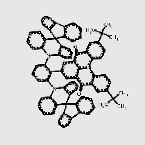 CC(C)(C)c1ccc2c(c1)c(=O)c1cc(-c3c(N4c5ccccc5C5(c6ccccc6-c6ccccc65)c5ccccc54)cccc3N3c4ccccc4C4(c5ccccc5-c5ccccc54)c4ccccc43)cc3c(=O)c4cc(C(C)(C)C)ccc4n2c13